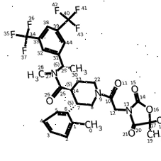 Cc1ccccc1[C@H]1CN(C(=O)CN2C(=O)OC(C)(C)C2=O)CC[C@@H]1C(=O)N(C)[C@@H](C)c1cc(C(F)(F)F)cc(C(F)(F)F)c1